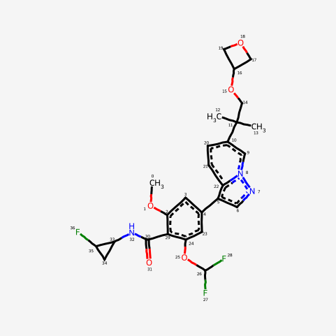 COc1cc(-c2cnn3cc(C(C)(C)COC4COC4)ccc23)cc(OC(F)F)c1C(=O)NC1CC1F